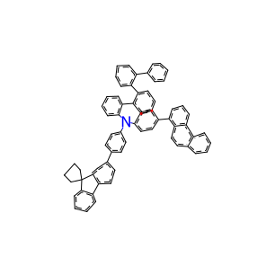 c1ccc(-c2ccccc2-c2ccccc2-c2ccccc2N(c2ccc(-c3ccc4c(c3)C3(CCCC3)c3ccccc3-4)cc2)c2ccc(-c3cccc4c3ccc3ccccc34)cc2)cc1